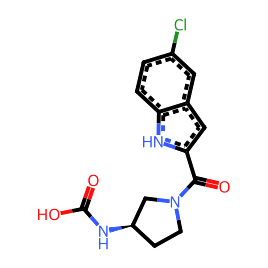 O=C(O)N[C@@H]1CCN(C(=O)c2cc3cc(Cl)ccc3[nH]2)C1